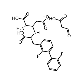 N[C@H](C(=O)O)C(CC(=O)O)N[C@@H](Cc1cccc(-c2ccccc2F)c1F)C(=O)O.O=CCC(=O)O